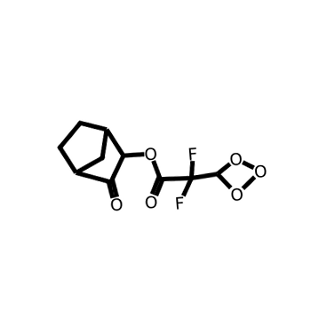 O=C1C2CCC(C2)C1OC(=O)C(F)(F)C1OOO1